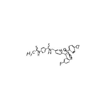 CC(=S)Nc1ccc(C(=S)NCc2ccc(C(c3cc(F)ccc3F)S(=O)(=O)c3ccc(Cl)cc3)nc2)cc1